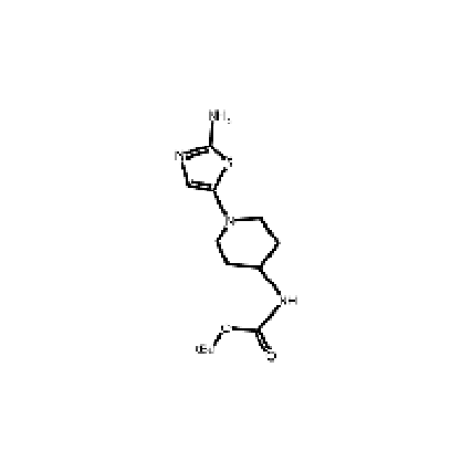 CC(C)(C)OC(=O)NC1CCN(c2cnc(N)s2)CC1